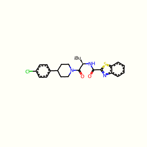 CCC(C)[C@@H](NC(=O)c1nc2ccccc2s1)C(=O)N1CCC(c2ccc(Cl)cc2)CC1